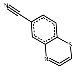 N#Cc1ccc2c(c1)N=C=CS2